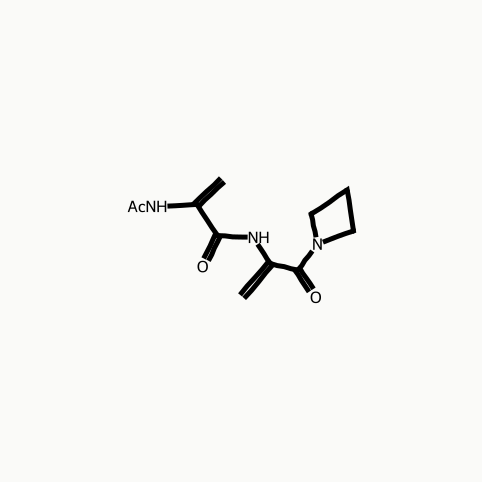 C=C(NC(C)=O)C(=O)NC(=C)C(=O)N1CCC1